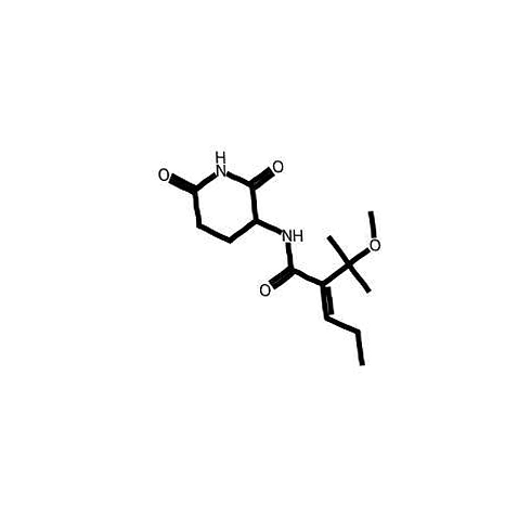 CC/C=C(/C(=O)NC1CCC(=O)NC1=O)C(C)(C)OC